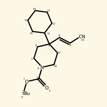 CC(C)(C)OC(=O)N1CCC(/C=C/C#N)(C2CCCCC2)CC1